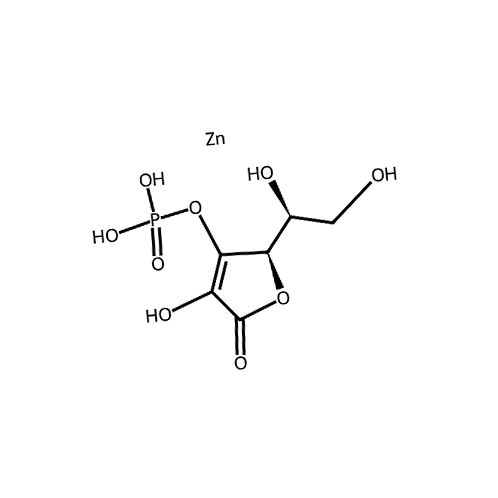 O=C1O[C@H]([C@@H](O)CO)C(OP(=O)(O)O)=C1O.[Zn]